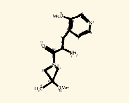 COc1cnccc1CC(N)C(=O)N1CC(C)(OC)C1